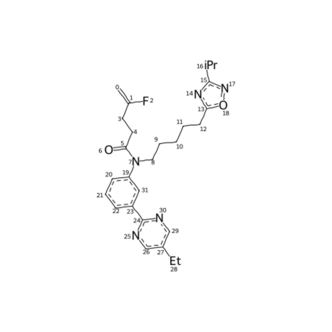 C=C(F)CCC(=O)N(CCCCCc1nc(C(C)C)no1)c1cccc(-c2ncc(CC)cn2)c1